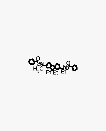 CC/C(=N\OC(=O)c1ccccc1)c1ccc2c(c1)C(CC)(CC)c1cc(/C(C)=N/OC(=O)c3ccccc3)ccc1-2